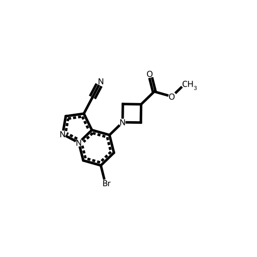 COC(=O)C1CN(c2cc(Br)cn3ncc(C#N)c23)C1